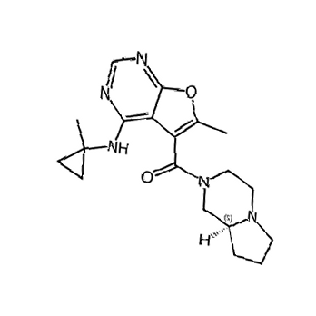 Cc1oc2ncnc(NC3(C)CC3)c2c1C(=O)N1CCN2CCC[C@H]2C1